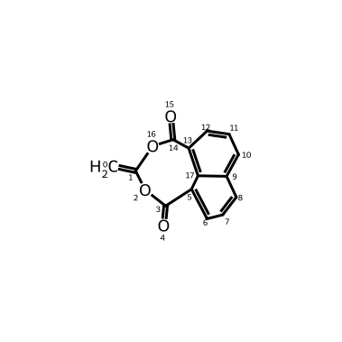 C=c1oc(=O)c2cccc3cccc(c(=O)o1)c32